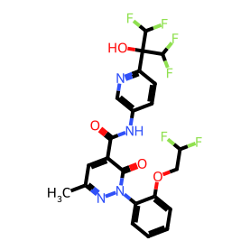 Cc1cc(C(=O)Nc2ccc(C(O)(C(F)F)C(F)F)nc2)c(=O)n(-c2ccccc2OCC(F)F)n1